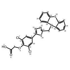 O=C(O)COc1c(Cl)cc(-c2nnc(CN3c4ccccc4Sc4ccccc43)s2)cc1Cl